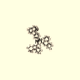 C1=CC2C=C(C3CC(C4=CC5=C(C=CCC5)C5C=CC=CC45)=NC(c4ccc(-c5nccc6ccccc56)cc4)=N3)c3ccccc3C2C=C1